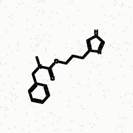 CN(Cc1ccccc1)C(=O)OCCCc1c[nH]cn1